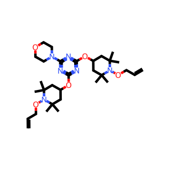 C=CCON1C(C)(C)CC(Oc2nc(OC3CC(C)(C)N(OCC=C)C(C)(C)C3)nc(N3CCOCC3)n2)CC1(C)C